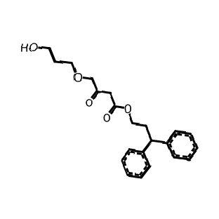 O=C(COCCCO)CC(=O)OCCC(c1ccccc1)c1ccccc1